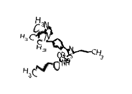 CCCCOC(=O)NS(=O)(=O)c1sc(CCC)nc1-c1ccc(Cn2ccnc2C(C)(C)C)cc1